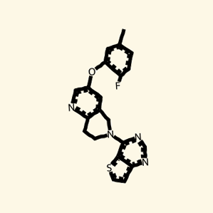 Cc1ccc(F)c(Oc2cnc3c(c2)CN(c2ncnc4ccsc24)CC3)c1